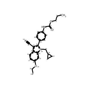 CCCOC(=O)Nc1ccc(-c2c(C#N)c3ccc(OCF)cc3n2CC2CC2)cc1